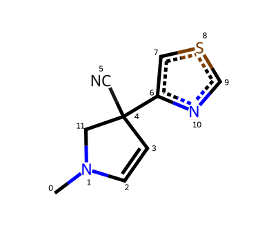 CN1C=CC(C#N)(c2cscn2)C1